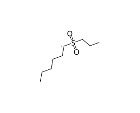 CCCCC[CH]S(=O)(=O)CCC